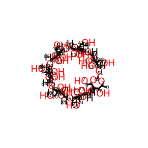 CC1OC2OC(CO)[C@@H](O[C@H]3OC(CO)[C@@H](O[C@H]4OC(CO)[C@@H](O[C@H]5OC(CO)[C@@H](O[C@H]6OC(CO)[C@@H](O[C@H]7OC(CO)[C@@H](O[C@H]8OC(CO)[C@@H](O2)C(O)C8O)C(O)C7O)C(O)C6O)C(O)C5O)C(O)C4O)C(O)C3O)C1O